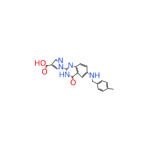 Cc1ccc(CNc2ccc3nc(-n4cc(C(=O)O)cn4)[nH]c(=O)c3c2)cc1